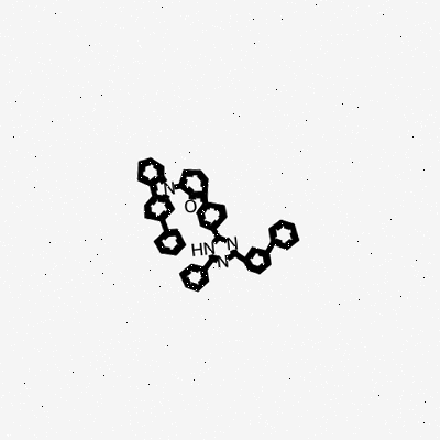 c1ccc(C2=NC(c3cccc(-c4ccccc4)c3)=NC(c3ccc4c(c3)oc3c(-n5c6ccccc6c6ccc(-c7ccccc7)cc65)cccc34)N2)cc1